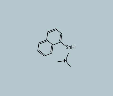 CN(C)C.[SnH][c]1cccc2ccccc12